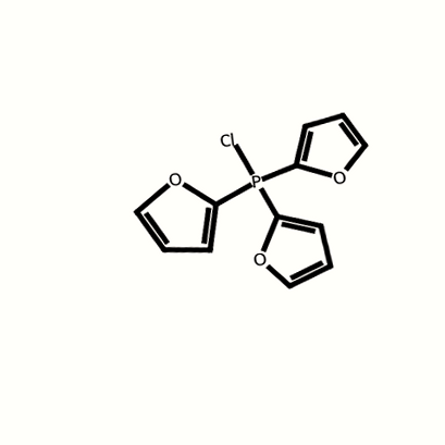 Cl[P](c1ccco1)(c1ccco1)c1ccco1